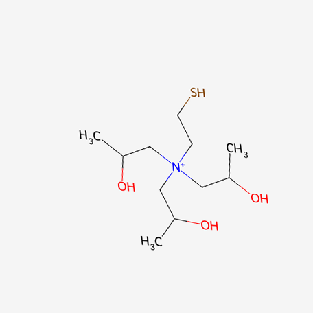 CC(O)C[N+](CCS)(CC(C)O)CC(C)O